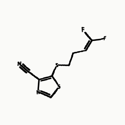 N#Cc1ncsc1SCCC=C(F)F